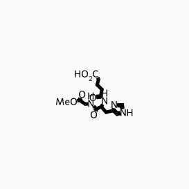 COC(=O)CNC(=O)C(Cc1c[nH]cn1)NC(=O)CCCC(=O)O